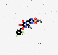 Cc1nc(OCc2ccc(F)cc2F)c(Br)c(=O)n1Cc1cnc(S(C)(=O)=O)nc1